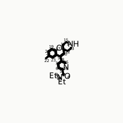 CCN(CC)C(=O)c1ccc(C2=CC3(CCNCC3)Oc3ccc(C)cc32)cn1